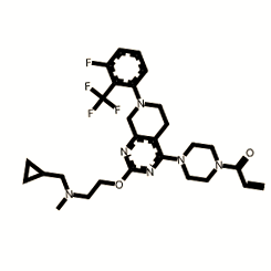 C=CC(=O)N1CCN(c2nc(OCCN(C)CC3CC3)nc3c2CCN(c2cccc(F)c2C(F)(F)F)C3)CC1